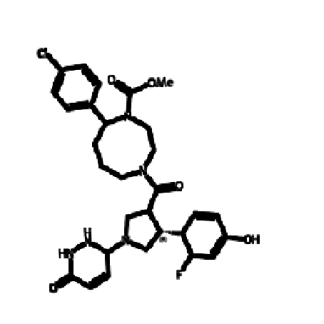 COC(=O)N1CCN(C(=O)C2CN(C3C=CC(=O)NN3)C[C@H]2C2C=CC(O)=CC2F)CCCC1c1ccc(Cl)cc1